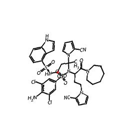 CC(CC(C=O)NS(=O)(=O)c1cccc2[nH]ccc12)(N(C(CCn1cccc1C#N)C(=O)N1CCCCCC1)S(=O)(=O)c1cc(Cl)c(N)c(Cl)c1)n1cccc1C#N